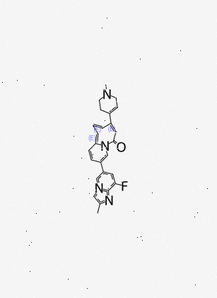 Cc1cn2cc(C3=CN4C(=O)\C=C(C5=CCN(C)CC5)/C=C/C=C/4C=C3)cc(F)c2n1